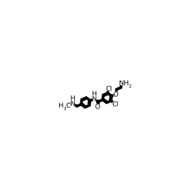 CNCc1ccc(NC(=O)c2cc(Cl)c(OCCN)c(Cl)c2)cc1